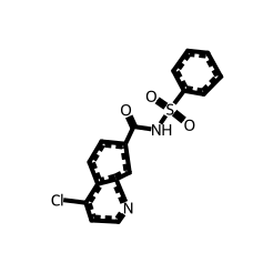 O=C(NS(=O)(=O)c1ccccc1)c1ccc2c(Cl)ccnc2c1